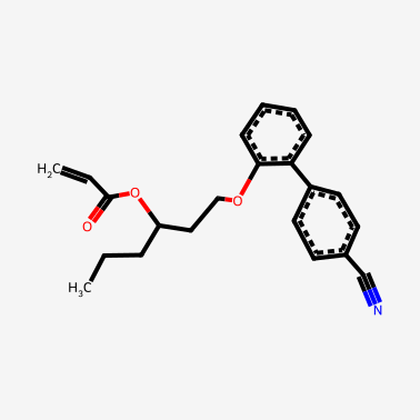 C=CC(=O)OC(CCC)CCOc1ccccc1-c1ccc(C#N)cc1